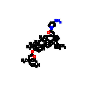 C=C(C)[C@@H]1CC[C@]2(CC(=O)N3CC[C@H](N)C3)CC[C@]3(C)[C@H](CC[C@@H]4[C@@]5(C)CC[C@H](OC(=O)CC(C)(C)CC(=O)O)C(C)(C)[C@@H]5CC[C@]43C)[C@@H]12